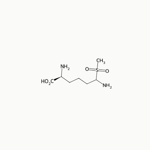 CS(=O)(=O)C(N)CCC[C@H](N)C(=O)O